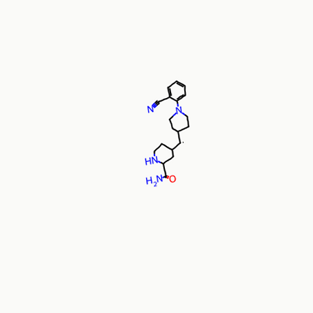 N#Cc1ccccc1N1CCC([CH]C2CCNC(C(N)=O)C2)CC1